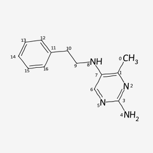 Cc1nc(N)ncc1NCCc1ccccc1